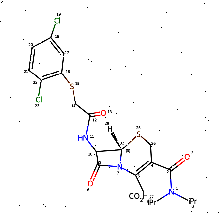 CC(C)N(C(=O)C1=C(C(=O)O)N2C(=O)C(NC(=O)CSc3cc(Cl)ccc3Cl)[C@@H]2SC1)C(C)C